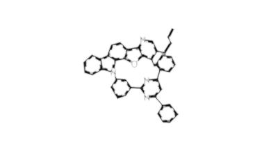 C=C/C=C\c1cnc2c(oc3c2ccc2c4ccccc4n(-c4cccc(-c5nc(-c6ccccc6)cc(-c6ccccc6)n5)c4)c23)c1C